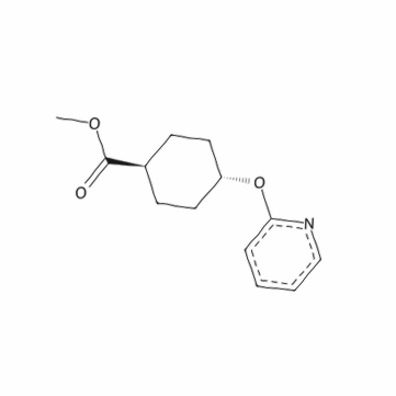 COC(=O)[C@H]1CC[C@H](Oc2ccccn2)CC1